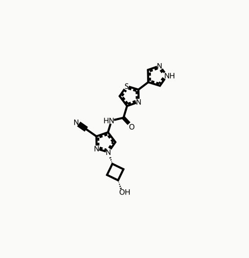 N#Cc1nn([C@H]2C[C@@H](O)C2)cc1NC(=O)c1csc(-c2cn[nH]c2)n1